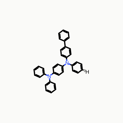 [3H]c1ccc(N(c2ccc(-c3ccccc3)cc2)c2ccc(N(c3ccccc3)c3ccccc3)cc2)cc1